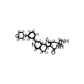 Cn1c2c(c3c1-c1cc(-c4cccc(N5CCOCC5)c4)ncc1CC3)C(=O)NC1(CNC1)C2